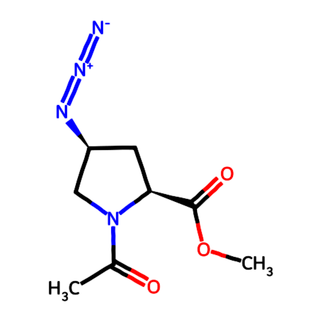 COC(=O)[C@@H]1C[C@H](N=[N+]=[N-])CN1C(C)=O